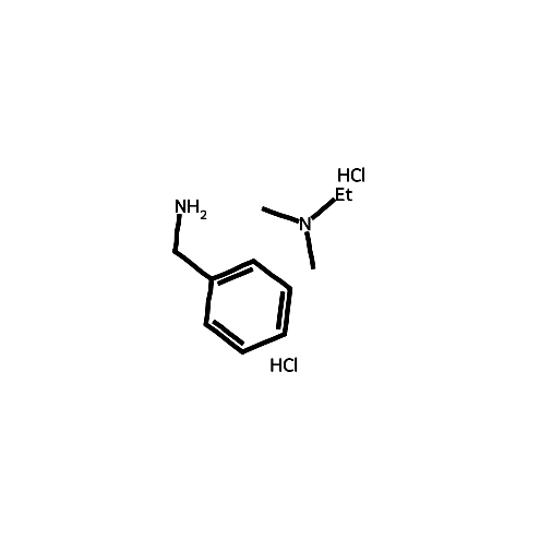 CCN(C)C.Cl.Cl.NCc1ccccc1